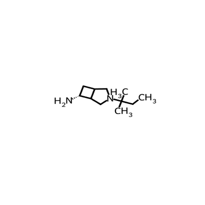 CCC(C)(C)N1CC2C[C@@H](N)C2C1